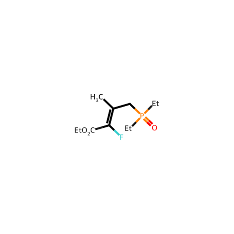 CCOC(=O)/C(F)=C(\C)CP(=O)(CC)CC